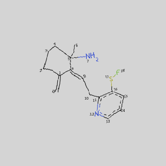 C=C1CCCC(C)(N)/C1=C/Cc1ncccc1SF